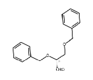 O=C[C@@H](COCc1ccccc1)OCc1ccccc1